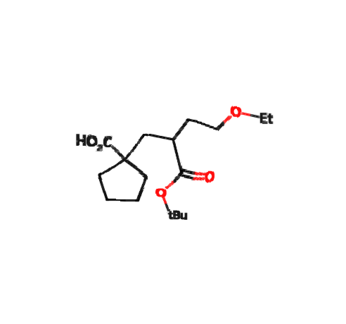 CCOCCC(CC1(C(=O)O)CCCC1)C(=O)OC(C)(C)C